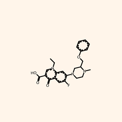 CCn1cc(C(=O)O)c(=O)c2cc(F)c(N3CCN(C)C(COc4ccccc4)C3)cc21